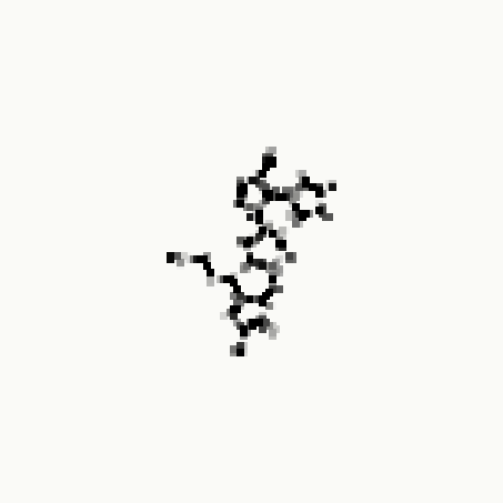 CCCCc1nc(Cl)c(Cl)n1Cc1ccc(-n2ccc(Br)c2-c2nnn[nH]2)cc1